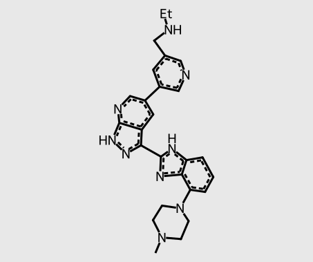 CCNCc1cncc(-c2cnc3[nH]nc(-c4nc5c(N6CCN(C)CC6)cccc5[nH]4)c3c2)c1